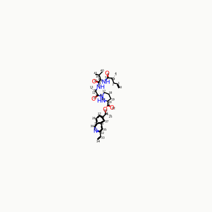 C=CC[C@@H](C)C(=O)N[C@H](C(=O)N[C@@H](C)C(=O)N1CCCC(C(=O)O[C@H](C)c2ccc3cnc(C=C)cc3c2)N1)C(C)C